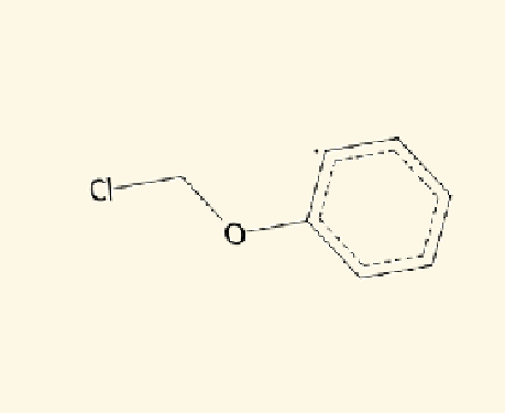 ClCOc1[c]cccc1